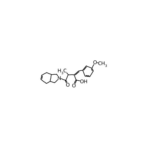 COc1cccc(/C=C(\C(=O)O)C(C)C(=O)N2CC3CC=CCC3C2)c1